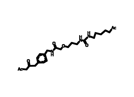 CC(=O)CCCCCNC(=O)NCCCOCC(=O)NCc1ccc(CC(=O)CC(C)=O)cc1